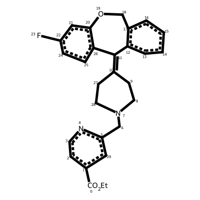 CCOC(=O)c1ccnc(CN2CCC(=C3c4ccccc4COc4cc(F)ccc43)CC2)c1